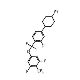 CCC1CCC(c2ccc(C(F)(F)Oc3cc(F)c(C(F)(F)F)c(F)c3)c(F)c2)CC1